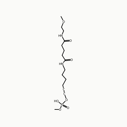 COCCNC(=O)CCCC(=O)NCCCCCCOP(=O)(O)OC